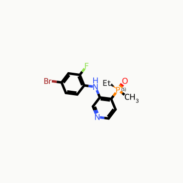 CC[P@](C)(=O)c1ccncc1Nc1ccc(Br)cc1F